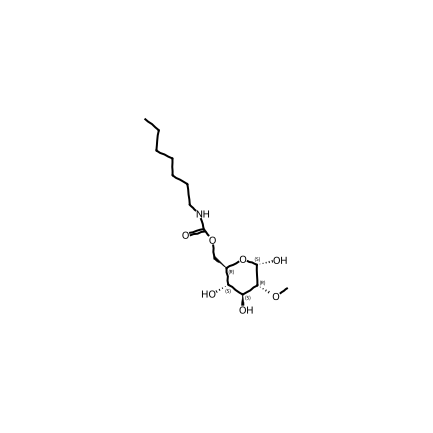 CCCCCCCNC(=O)OC[C@H]1O[C@H](O)[C@H](OC)[C@@H](O)[C@@H]1O